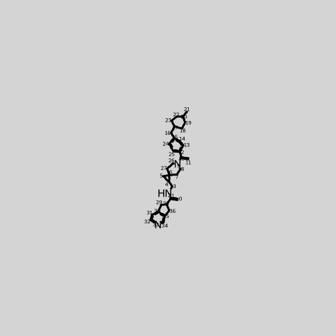 C=C(NCC1CC12CCN(C(=C)c1ccc(CC3CCC(C)CC3)cc1)CC2)C1Cc2ccncc2C1